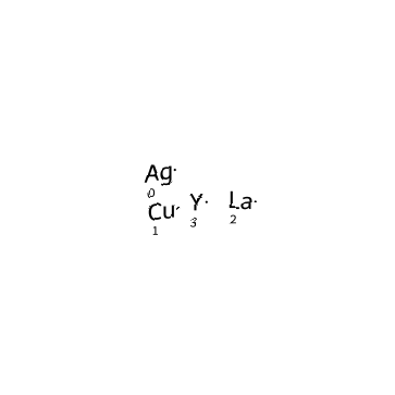 [Ag].[Cu].[La].[Y]